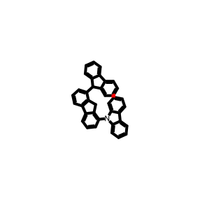 c1ccc2c(c1)-c1ccccc1C2c1cccc2c1Cc1c-2cccc1-n1c2ccccc2c2ccccc21